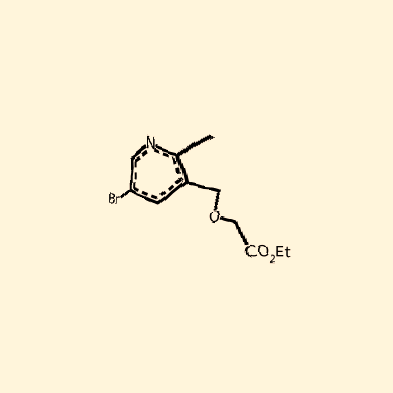 CCOC(=O)COCc1cc(Br)cnc1C